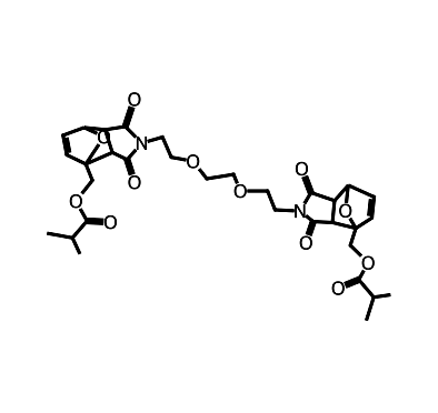 CC(C)C(=O)OCC12C=CC(O1)C1C(=O)N(CCOCCOCCN3C(=O)C4C5C=CC(COC(=O)C(C)C)(O5)C4C3=O)C(=O)C12